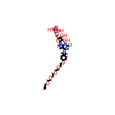 C#CCOCCOCCOCCOCCOC1CCC2(CC1)CN(c1nc(Cl)nc3c1cnn3[C@@H]1O[C@H](COCP(=O)(O)O)[C@@H](O)[C@H]1O)C2